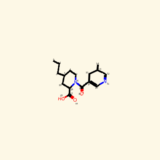 CCCC1CCN(C(=O)C2=CN=CC(C)C2)C(C(=O)O)C1